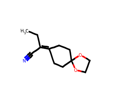 CCC(C#N)=C1CCC2(CC1)OCCO2